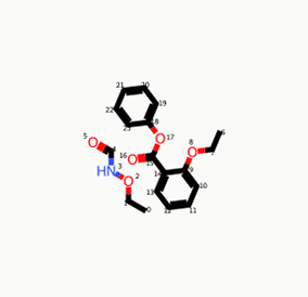 CCONC=O.CCOc1ccccc1C(=O)Oc1ccccc1